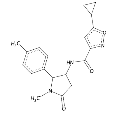 Cc1ccc(C2C(NC(=O)c3cc(C4CC4)on3)CC(=O)N2C)cc1